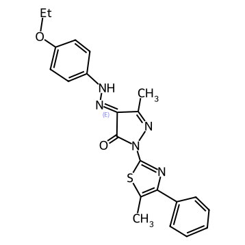 CCOc1ccc(N/N=C2/C(=O)N(c3nc(-c4ccccc4)c(C)s3)N=C2C)cc1